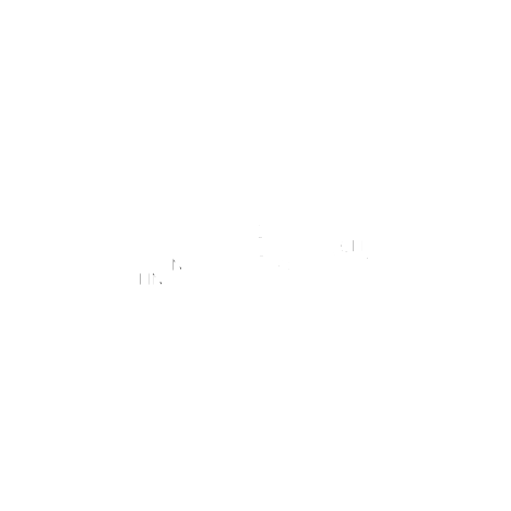 C=CCOC(=O)CCCN=N